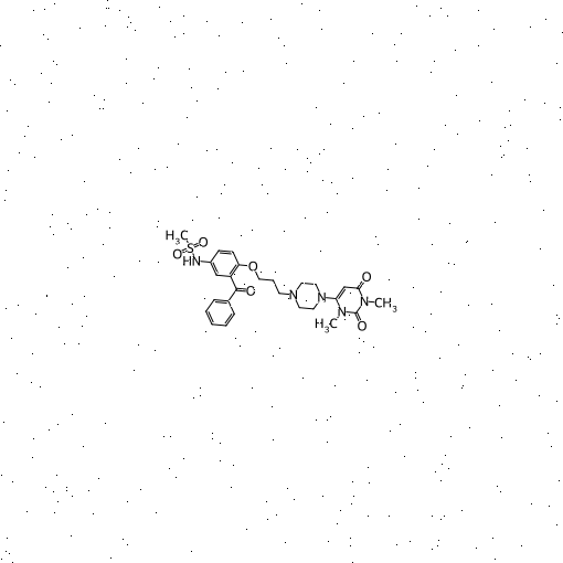 Cn1c(N2CCN(CCCOc3ccc(NS(C)(=O)=O)cc3C(=O)c3ccccc3)CC2)cc(=O)n(C)c1=O